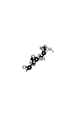 CC(c1ccc(CC(=O)Nc2cc(Cl)c(C3(c4nc(-c5ccc(F)c(Cl)c5)no4)CC3)c(Cl)c2)cc1)[SH](=O)=O